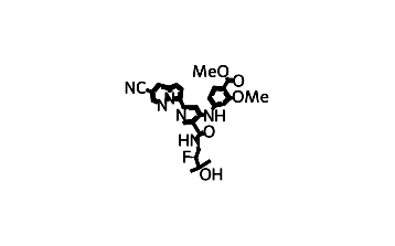 COC(=O)c1ccc(Nc2cc(-c3ccc4cc(C#N)cnn34)ncc2C(=O)NC[C@@H](F)C(C)(C)O)cc1OC